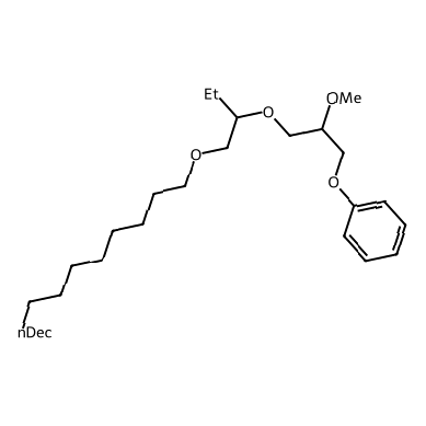 CCCCCCCCCCCCCCCCCCOCC(CC)OCC(COc1ccccc1)OC